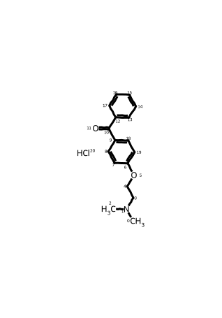 CN(C)CCOc1ccc(C(=O)c2ccccc2)cc1.Cl